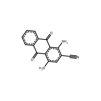 N#Cc1cc(N)c2c(c1N)C(=O)c1ccccc1C2=O